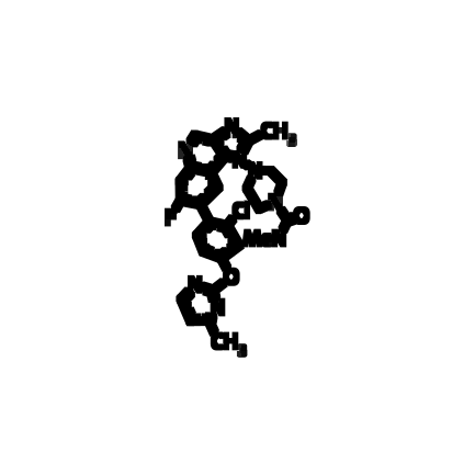 CNC(=O)N1CCN(n2c(C)nc3cnc4cc(F)c(-c5ccc(Oc6nccc(C)n6)cc5Cl)cc4c32)CC1